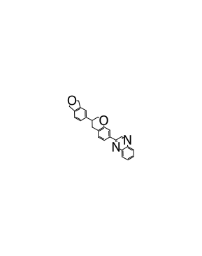 c1ccc2nc(-c3ccc4c(c3)OCC(c3ccc5c(c3)COC5)C4)cnc2c1